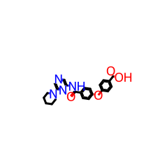 O=C(O)c1ccc(Oc2ccc(C(=O)Nc3cncc(N4CCCCC4)n3)cc2)cc1